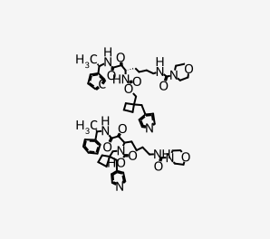 C[C@@H](NC(=O)C(=O)C(CCCCNC(=O)N1CCOCC1)N(CC1(Cc2ccncc2)CCC1)C(=O)O)c1ccccc1.C[C@@H](NC(=O)C(=O)[C@H](CCCCNC(=O)N1CCOCC1)NC(=O)OCC1(Cc2ccncc2)CCC1)c1ccccc1